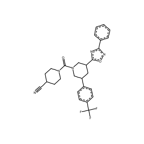 N#CC1CCN(C(=O)N2CC(c3ccc(C(F)(F)F)cc3)CC(c3nc(-c4ccccc4)no3)C2)CC1